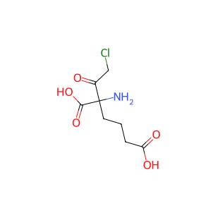 NC(CCCC(=O)O)(C(=O)O)C(=O)CCl